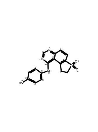 O=S1(=O)CCc2c1ccc1ncnc(Nc3ccc(S)cc3)c21